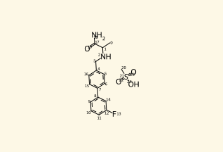 CC(NCc1ccc(-c2cccc(F)c2)cc1)C(N)=O.CS(=O)(=O)O